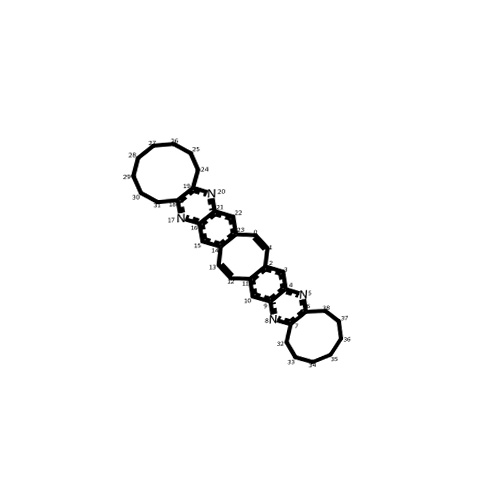 C1=C\c2cc3nc4c(nc3cc2/C=C\c2cc3nc5c(nc3cc2/1)CCCCCCCC5)CCCCCCC4